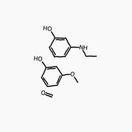 C=O.CCNc1cccc(O)c1.COc1cccc(O)c1